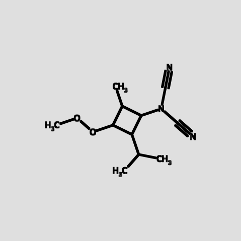 COOC1C(C)C(N(C#N)C#N)C1C(C)C